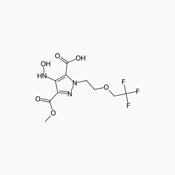 COC(=O)c1nn(CCOCC(F)(F)F)c(C(=O)O)c1NO